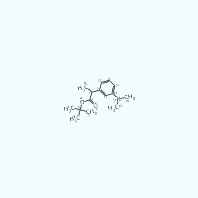 CC(C(=O)OC(C)(C)C)c1cccc(N(C)C)c1